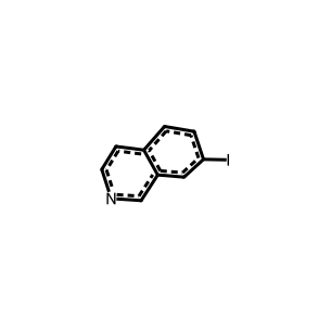 Ic1ccc2ccncc2c1